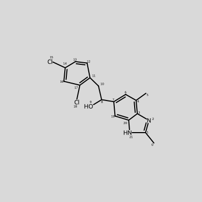 Cc1nc2c(C)cc(C(O)Cc3ccc(Cl)cc3Cl)cc2[nH]1